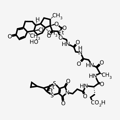 CCC(=O)O[C@]1(C(=O)COCNC(=O)CNC(=O)CNC(=O)[C@H](C)NC(=O)[C@H](CCC(=O)O)NC(=O)CCN2C(=O)C3=C(SC4(CC)C(C5CC5)C4(CC)S3)C2=O)[C@@H](C)CC2[C@@H]3CCC4=CC(=O)C=C[C@]4(C)[C@@]3(Cl)[C@@H](O)C[C@@]21C